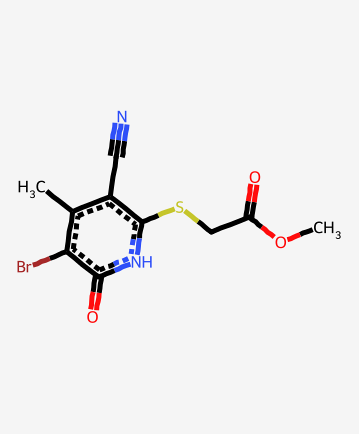 COC(=O)CSc1[nH]c(=O)c(Br)c(C)c1C#N